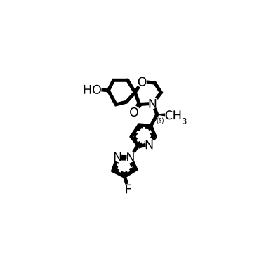 C[C@@H](c1ccc(-n2cc(F)cn2)nc1)N1CCOC2(CCC(O)CC2)C1=O